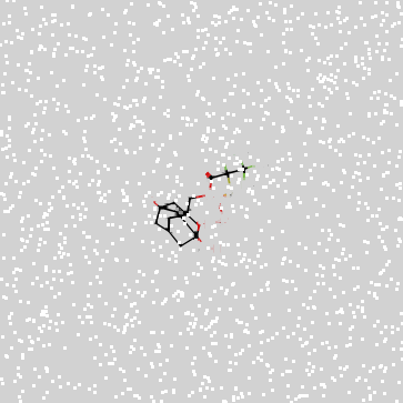 O=C(OCC12CC3CC(O)(CC(O)(C3)C1)C2)C(F)(SOOO)C(F)(F)F